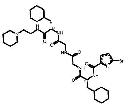 O=C(CNC(=O)[C@H](CC1CCCCC1)NC(=O)c1ccc(Br)o1)NCC(=O)N[C@@H](CC1CCCCC1)C(=O)NCCN1CCCCC1